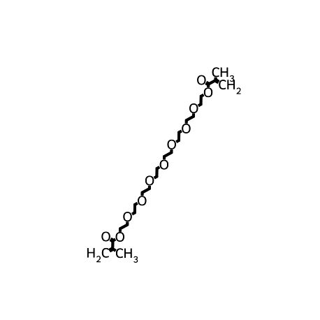 C=C(C)C(=O)OCCOCCOCCOCCOCCOCCOCCOCCOC(=O)C(=C)C